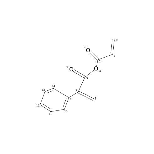 C=CC(=O)OC(=O)C(=C)c1ccccc1